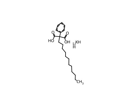 CCCCCCCCCCCCC(C(=O)O)(C(=O)O)c1ccccc1.[KH].[LiH]